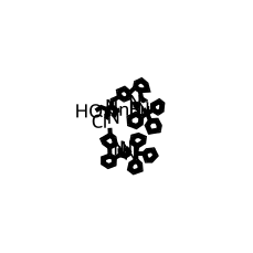 CCCCc1nc(Cl)c(CO)n1Cc1ccc(-c2ccccc2-c2cn(C(c3ccccc3)(c3ccccc3)c3ccccc3)nn2)cc1.Cc1ccc(-c2ccccc2-c2cn(C(c3ccccc3)(c3ccccc3)c3ccccc3)nn2)cc1